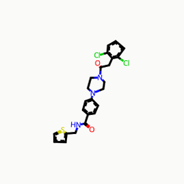 O=C(NCc1cccs1)c1ccc(N2CCN(C(=O)Cc3c(Cl)cccc3Cl)CC2)cc1